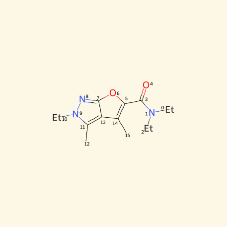 CCN(CC)C(=O)c1oc2nn(CC)c(C)c2c1C